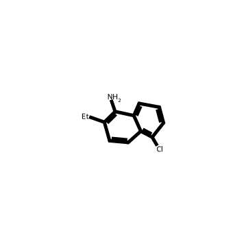 CCc1ccc2c(Cl)cccc2c1N